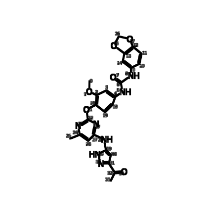 COc1cc(NC(=O)Nc2ccc3c(c2)OCO3)ccc1Oc1nc(C)cc(Nc2cc(C(C)=O)n[nH]2)n1